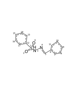 O=S(=O)(NN=Cc1ccccc1)c1ccccc1